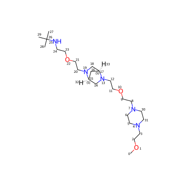 COCCN1CCN(CCOCCN2C[C@@H]3C[C@H]2CN3CCOCCNC(C)(C)C)CC1